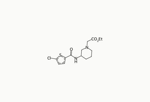 CCOC(=O)CN1CCCC(NC(=O)c2ccc(Cl)s2)C1